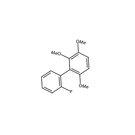 COc1ccc(OC)c(-c2ccc[c]c2F)c1OC